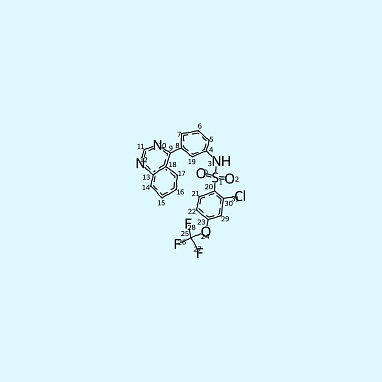 O=S(=O)(Nc1cccc(-c2ncnc3ccccc23)c1)c1ccc(OC(F)(F)F)cc1Cl